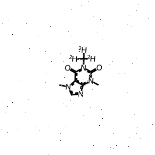 [2H]C([2H])([2H])n1c(=O)c2c(ncn2C)n(C)c1=O